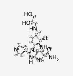 CCc1c(CNCC(O)CO)cccc1Nc1c(C(N)=O)cnc2[nH]c(-c3ccncc3)nc12